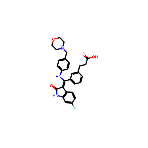 O=C(O)CCc1cccc(/C(Nc2ccc(CN3CCOCC3)cc2)=C2/C(=O)Nc3cc(F)ccc32)c1